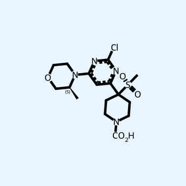 C[C@H]1COCCN1c1cc(C2(S(C)(=O)=O)CCN(C(=O)O)CC2)nc(Cl)n1